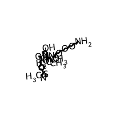 Cc1ncsc1-c1ccc(CNC(=O)[C@H]2C[C@@H](O)CN2C(=O)[C@@H](NC(=O)COCCOCCOCCN)C(C)(C)C)cc1